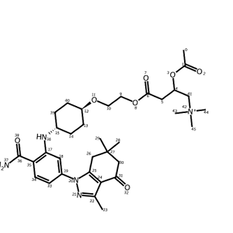 CC(=O)OC(CC(=O)OCCO[C@H]1CC[C@H](Nc2cc(-n3nc(C)c4c3CC(C)(C)CC4=O)ccc2C(N)=O)CC1)C[N+](C)(C)C